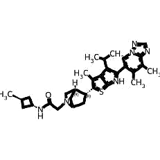 Cc1c(-c2[nH]c3sc([C@@H]4CC5C[C@H]4CN5CC(=O)N[C@H]4C[C@H](C)C4)c(C)c3c2C(C)C)cn2ncnc2c1C